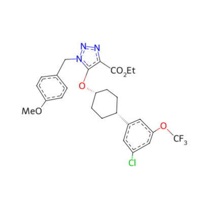 CCOC(=O)c1nnn(Cc2ccc(OC)cc2)c1O[C@H]1CC[C@@H](c2cc(Cl)cc(OC(F)(F)F)c2)CC1